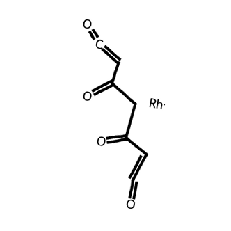 O=C=CC(=O)CC(=O)C=C=O.[Rh]